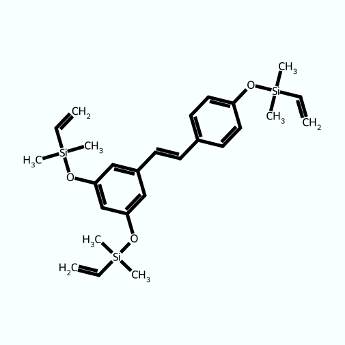 C=C[Si](C)(C)Oc1ccc(/C=C/c2cc(O[Si](C)(C)C=C)cc(O[Si](C)(C)C=C)c2)cc1